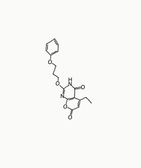 CCc1cc(=O)oc2nc(OCCCOc3ccccc3)[nH]c(=O)c12